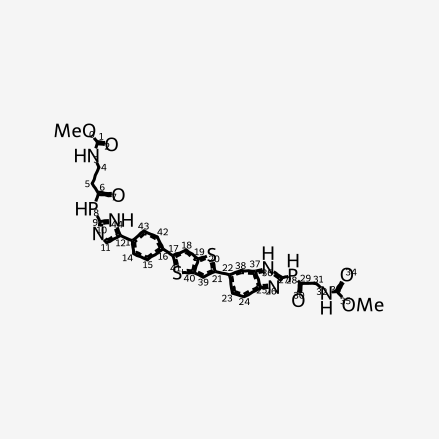 COC(=O)NCCC(=O)Pc1ncc(-c2ccc(-c3cc4sc(-c5ccc6nc(PC(=O)CNC(=O)OC)[nH]c6c5)cc4s3)cc2)[nH]1